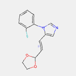 Fc1ccccc1-n1cncc1/C=C/C1OCCO1